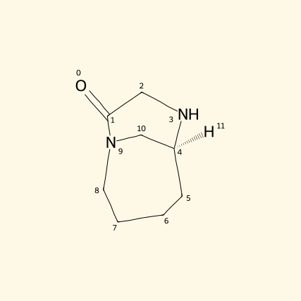 O=C1CN[C@H]2CCCCN1C2